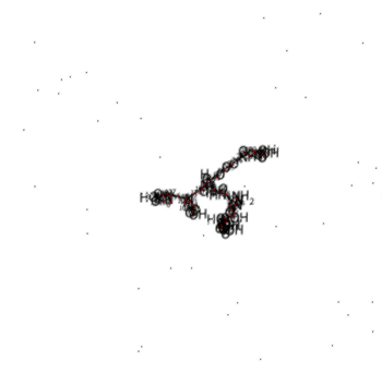 CC[N+]1=C(/C=C/C=C/C=C2/N(CCCCCC(=O)NC(CSSCCC(=O)NCC#Cc3cn([C@H]4CC(O)[C@@H](COP(=O)(O)OP(=O)(O)OP(=O)(O)O)O4)c4ncnc(N)c34)C(=O)NCCCOCCOCCOCCCNC(=O)c3ccc(COP(=O)(O)O)cc3)c3ccc(S(=O)(=O)O)cc3C2(C)C)C(C)(C)c2cc(S(=O)(=O)O)ccc21